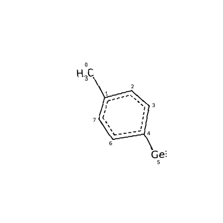 Cc1cc[c]([Ge])cc1